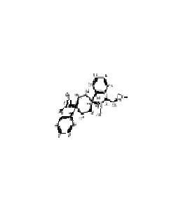 CN(C)C1(c2ccccc2)CCC(c2ccccc2)(N(C)CCO)CC1